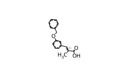 C/C(=C\c1cccc(OCc2ccccc2)c1)C(=O)O